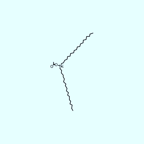 CC(=O)[O-].CCCCCCCCCCCCCCCCCCCC[N+](C)(C)CCCCCCCCCCCCCCCCCCCC